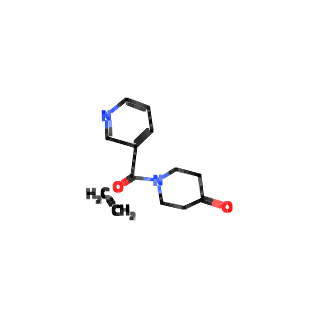 C=C.O=C1CCN(C(=O)c2cccnc2)CC1